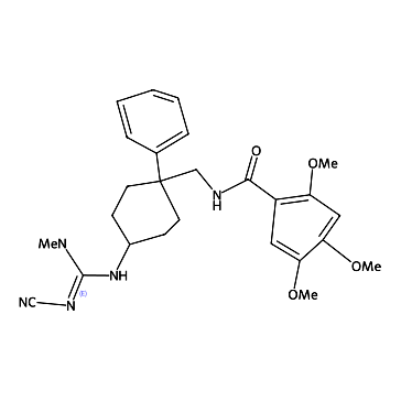 CN/C(=N\C#N)NC1CCC(CNC(=O)c2cc(OC)c(OC)cc2OC)(c2ccccc2)CC1